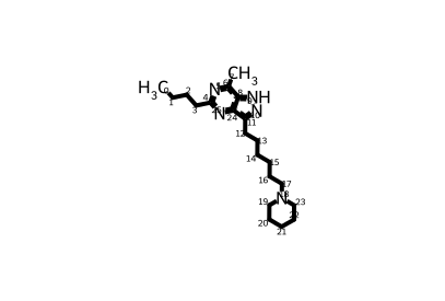 CCCCc1nc(C)c2[nH]nc(CCCCCCN3CCCCC3)c2n1